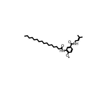 CCCCCCCCCCCCCCCC(=O)Nc1cc(C(=O)NCC=C(C)C)ccc1OC